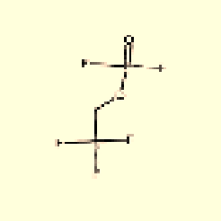 O=P(F)(F)OCC(F)(F)F